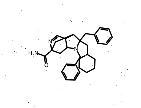 NC(=O)C12CC3C(C=N1)C(C2)C(Cc1ccccc1)(CC1CCCCC1)N3Cc1ccccc1